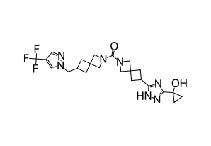 O=C(N1CC2(CC(Cn3cc(C(F)(F)F)cn3)C2)C1)N1CC2(CC(c3nc(C4(O)CC4)n[nH]3)C2)C1